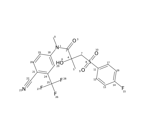 CN(C(=O)C(C)(O)CS(=O)(=O)c1ccc(F)cc1)c1ccc(C#N)c(C(F)(F)F)c1